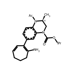 CC(=O)N1c2ccc(C3=C(N)CCCC=C3)cc2N(C(=O)OC(C)C)C[C@@H]1C